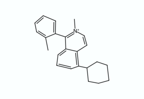 Cc1ccccc1-c1c2cccc(C3CCCCC3)c2cc[n+]1C